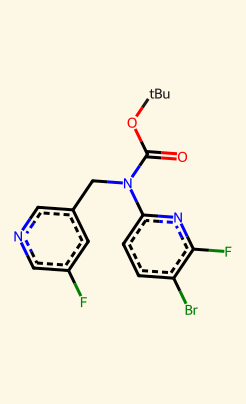 CC(C)(C)OC(=O)N(Cc1cncc(F)c1)c1ccc(Br)c(F)n1